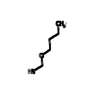 [CH2]CCCOCS